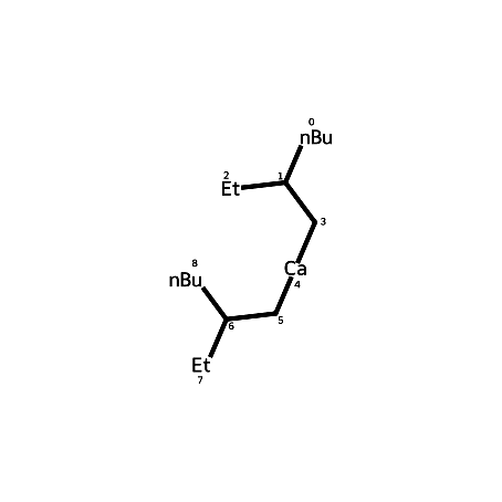 CCCCC(CC)[CH2][Ca][CH2]C(CC)CCCC